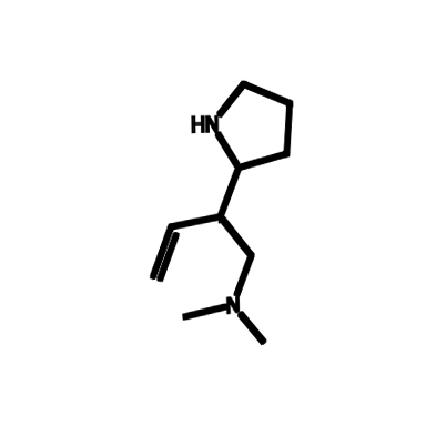 C=C[C](CN(C)C)C1CCCN1